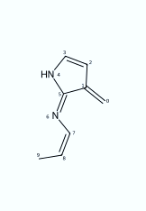 C=C1C=CN/C1=N/C=C\C